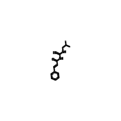 CC(C)CNC(=N)NC(=O)C=Cc1ccccc1